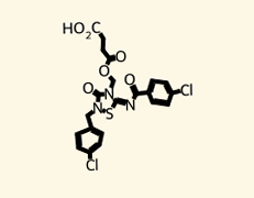 O=C(O)CCC(=O)OCn1c(=O)n(Cc2ccc(Cl)cc2)s/c1=N/C(=O)c1ccc(Cl)cc1